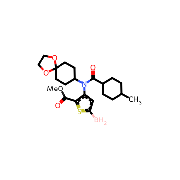 Bc1cc(N(C(=O)C2CCC(C)CC2)C2CCC3(CC2)OCCO3)c(C(=O)OC)s1